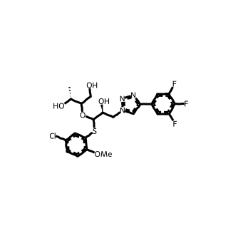 COc1ccc(Cl)cc1SC(OC(CO)[C@@H](C)O)[C@@H](O)Cn1cc(-c2cc(F)c(F)c(F)c2)nn1